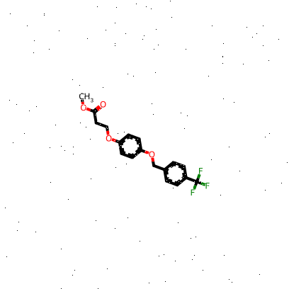 COC(=O)CCOc1ccc(OCc2ccc(C(F)(F)F)cc2)cc1